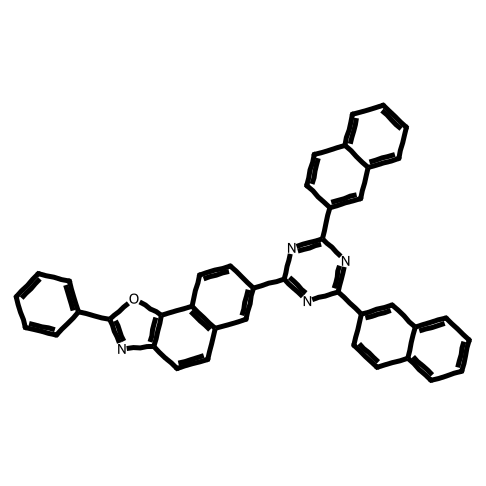 c1ccc(-c2nc3ccc4cc(-c5nc(-c6ccc7ccccc7c6)nc(-c6ccc7ccccc7c6)n5)ccc4c3o2)cc1